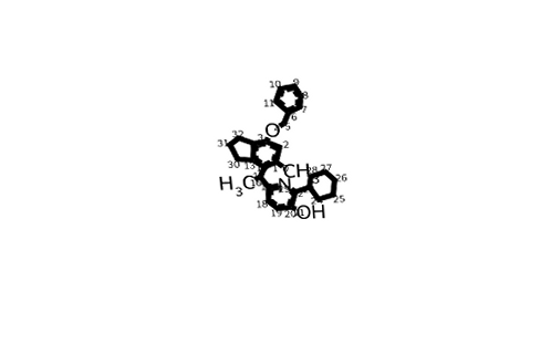 Cc1cc(OCc2ccccc2)c2c(c1C(C)c1ccc(O)c(C3CCCCC3)n1)CCC2